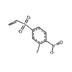 C=CS(=O)(=O)c1ccc([N+](=O)[O-])c(F)c1